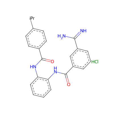 CC(C)c1ccc(C(=O)Nc2ccccc2NC(=O)c2cccc(C(=N)N)c2)cc1.Cl